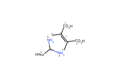 C/C(C(=O)O)=C(\C)C(=O)O.CCCCCCC(N)N